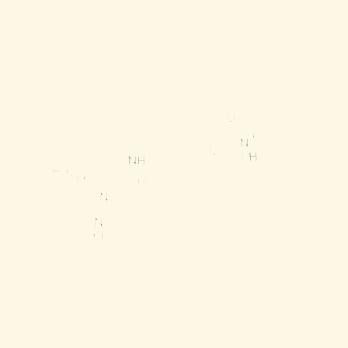 COc1ccc(NC(=O)c2ccc(-c3ccc(C(=O)N(C)C)cc3)cc2)cc1N1CCN(C)CC1